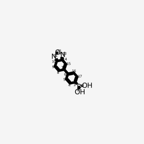 OB(O)c1ccc(-c2ccc3nonc3c2)cc1